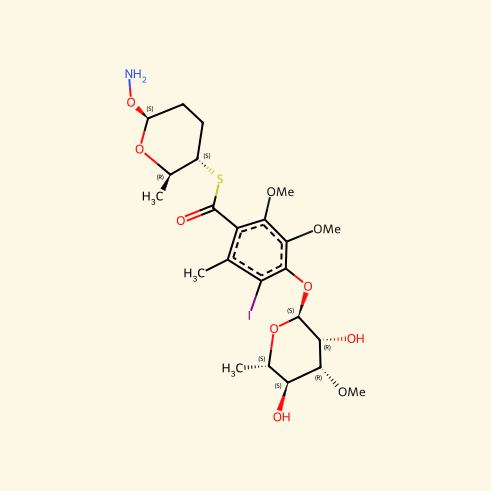 COc1c(O[C@@H]2O[C@@H](C)[C@H](O)[C@@H](OC)[C@H]2O)c(I)c(C)c(C(=O)S[C@H]2CC[C@H](ON)O[C@@H]2C)c1OC